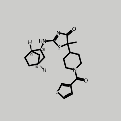 CC1(C2CCN(C(=O)c3ccsc3)CC2)SC(N[C@H]2C[C@H]3CC[C@H]2C3)=NC1=O